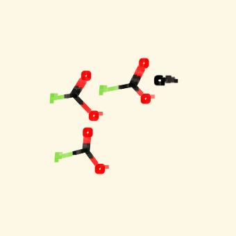 O=C([O-])F.O=C([O-])F.O=C([O-])F.[Cr+3]